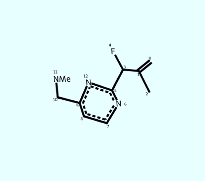 C=C(C)C(F)c1nccc(CNC)n1